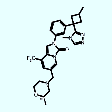 CC1CC(c2cccc(-n3cc4c(C(F)(F)F)cc(CN5CCO[C@H](C)C5)cn4c3=O)c2)(c2nncn2C)C1